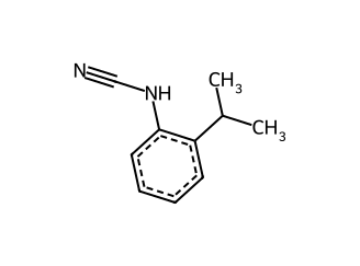 CC(C)c1ccccc1NC#N